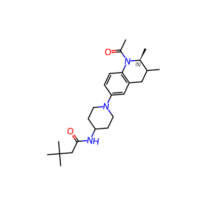 CC(=O)N1c2ccc(N3CCC(NC(=O)CC(C)(C)C)CC3)cc2CC(C)[C@@H]1C